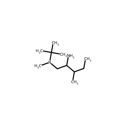 CCC(C)C(N)CN(C)C(C)(C)C